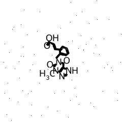 Cn1c(=O)n(Cc2ccccc2C=CC(=O)O)c(=O)c2[nH]cnc21